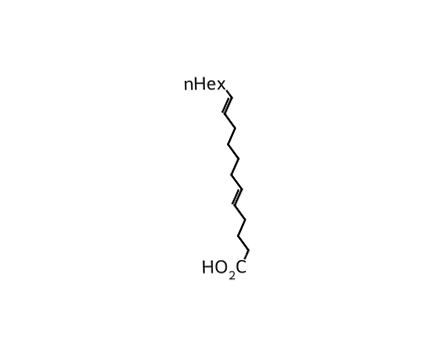 CCCCCC/C=C/CCCC/C=C/CCCC(=O)O